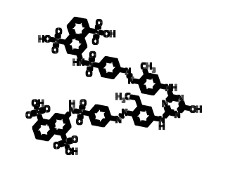 CCc1cc(Nc2nc(O)nc(Nc3ccc(/N=N/c4ccc(S(=O)(=O)Nc5cc(S(=O)(=O)O)c6cccc(S(=O)(=O)O)c6c5)cc4)c(C)c3)n2)ccc1/N=N/c1ccc(S(=O)(=O)Nc2cc(S(=O)(=O)O)c3cccc(S(=O)(=O)O)c3c2)cc1